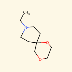 CCN1CCC2(CC1)COCCO2